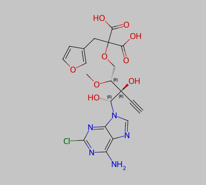 C#C[C@@](O)([C@@H](COC(Cc1ccoc1)(C(=O)O)C(=O)O)OC)[C@@H](O)n1cnc2c(N)nc(Cl)nc21